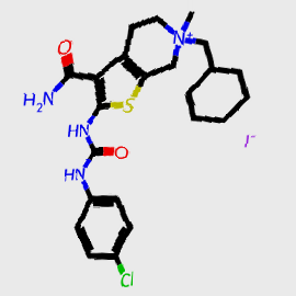 C[N+]1(CC2CCCCC2)CCc2c(sc(NC(=O)Nc3ccc(Cl)cc3)c2C(N)=O)C1.[I-]